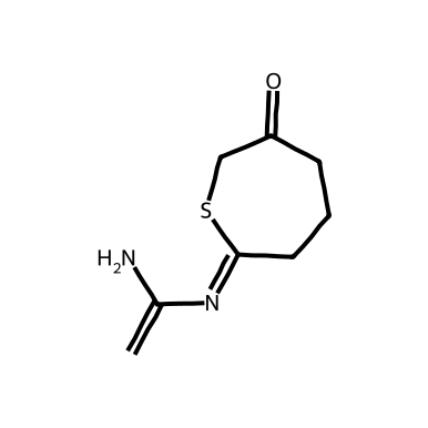 C=C(N)/N=C1/CCCC(=O)CS1